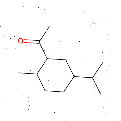 CC(=O)C1CC(C(C)C)CCC1C